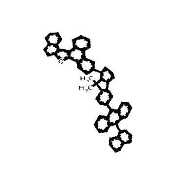 CC1(C)c2ccc(-c3c4ccccc4c(-c4cccc5ccccc45)c4ccccc34)cc2-c2cccc(-c3ccc4c(c3)c3ccccc3c3c4oc4ccc5ccccc5c43)c21